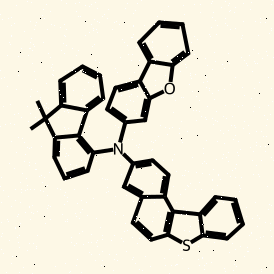 CC1(C)c2ccccc2-c2c(N(c3ccc4c(ccc5sc6ccccc6c54)c3)c3ccc4c(c3)oc3ccccc34)cccc21